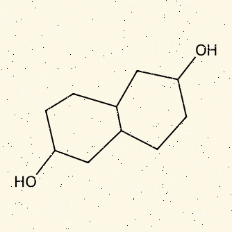 OC1CCC2CC(O)CCC2C1